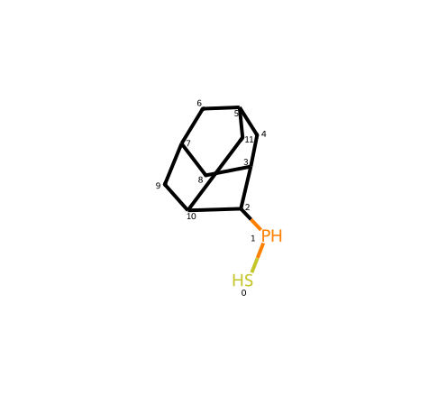 SPC1C2CC3CC(C2)CC1C3